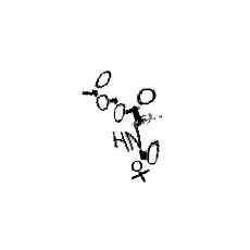 CC(=O)OCOC(=O)[C@H](C)NC(=O)OC(C)(C)C